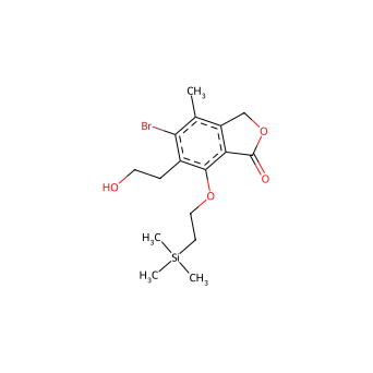 Cc1c(Br)c(CCO)c(OCC[Si](C)(C)C)c2c1COC2=O